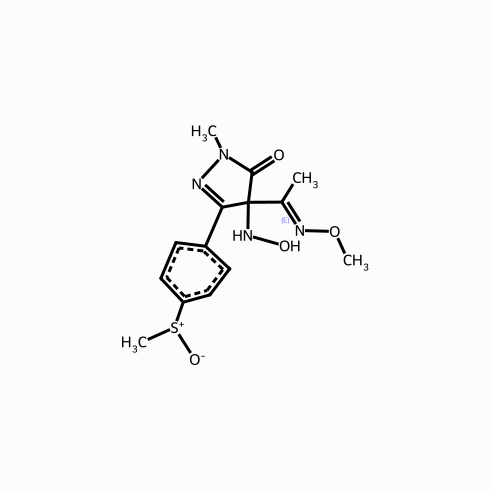 CO/N=C(\C)C1(NO)C(=O)N(C)N=C1c1ccc([S+](C)[O-])cc1